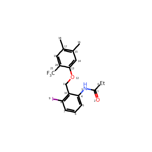 CCC(=O)Nc1cccc(I)c1COc1cc(C)c(C)cc1C(F)(F)F